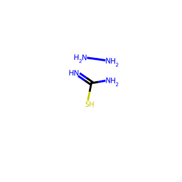 N=C(N)S.NN